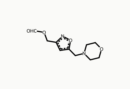 O=COCc1cc(CN2CCOCC2)on1